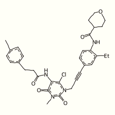 CCc1cc(C#CCn2c(Cl)c(NC(=O)CCc3ccc(C)cc3)c(=O)n(C)c2=O)ccc1NC(=O)C1CCOCC1